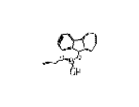 C=CCOB(O)OC1c2ccccc2-c2ccccc21